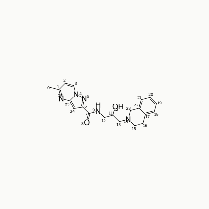 Cc1ccn2nc(C(=O)NCC(O)CN3CCc4ccccc4C3)cc2n1